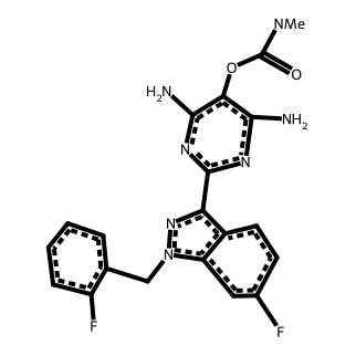 CNC(=O)Oc1c(N)nc(-c2nn(Cc3ccccc3F)c3cc(F)ccc23)nc1N